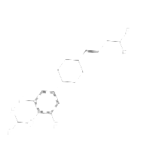 Fc1cc([C@H]2CC[C@H](C=CCC(F)F)CC2)cc(F)c1OC(F)F